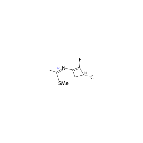 CS/C(C)=N\C1=C(F)[C@H](Cl)C1